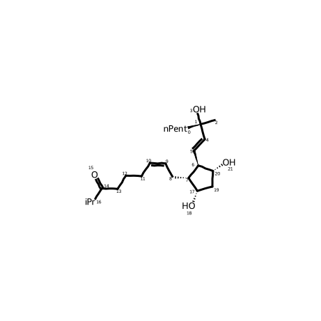 CCCCC[C@](C)(O)/C=C/[C@@H]1[C@@H](C/C=C\CCCC(=O)C(C)C)[C@@H](O)C[C@H]1O